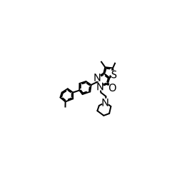 Cc1cccc(-c2ccc(-c3nc4c(C)c(C)sc4c(=O)n3CCN3CCCCC3)cc2)c1